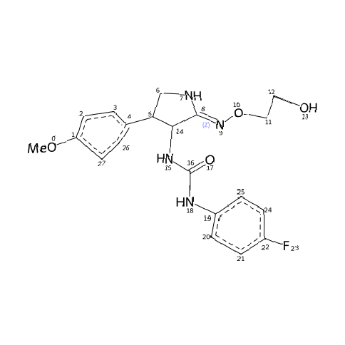 COc1ccc(C2CN/C(=N\OCCO)C2NC(=O)Nc2ccc(F)cc2)cc1